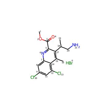 Br.COC(=O)c1nc2cc(Cl)cc(Cl)c2c(C)c1C(C)CN